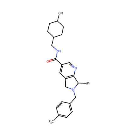 CC(C)C1c2ncc(C(=O)NCC3CCC(C#N)CC3)cc2CN1Cc1ccc(C(F)(F)F)cc1